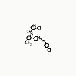 O=C(Nc1ccc(C(F)(F)F)cc1C1CCN(CC=Cc2ccc(Cl)cc2)CC1)c1ccnc(Cl)c1